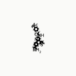 CC(=O)N(C)[C@H]1CC[C@H](CC(=O)Nc2cnc(-c3ccc(C(C)(C)N)cc3)c(-c3ccsc3)c2)CC1